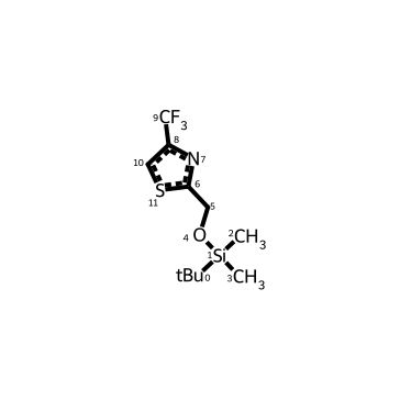 CC(C)(C)[Si](C)(C)OCc1nc(C(F)(F)F)cs1